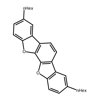 CCCCCCc1ccc2oc3c(ccc4c5cc(CCCCCC)ccc5oc43)c2c1